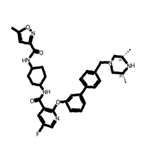 Cc1cc(C(=O)NC2CCC(NC(=O)c3cc(F)cnc3Oc3cccc(-c4ccc(CN5C[C@@H](C)N[C@@H](C)C5)cc4)c3)CC2)no1